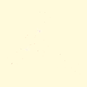 CC1(C)OC1CCC1(C)OC1CCC1(O)CCC(C(=O)NCc2ccccc2)C(C(=O)NCc2ccccc2)C1